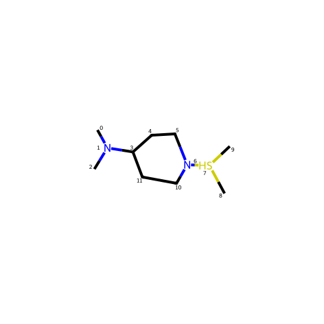 CN(C)C1CCN([SH](C)C)CC1